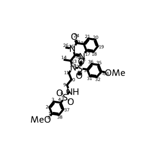 COc1ccc(S(=O)(=O)NCCCN(C(C)c2nc3ccccc3c(=O)n2C)S(=O)(=O)c2ccc(OC)cc2)cc1